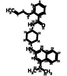 C=CCSc1ncccc1C(=O)N[C@H]1CC[C@@H](Nc2nc(N(C)C)c3ccccc3n2)CC1